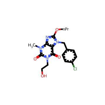 CCCOc1nc2c(c(=O)n(CCO)c(=O)n2C)n1Cc1ccc(Cl)cc1